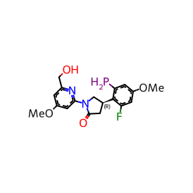 COc1cc(CO)nc(N2C[C@@H](c3c(F)cc(OC)cc3P)CC2=O)c1